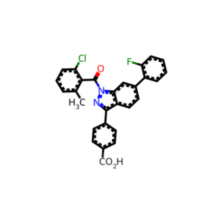 Cc1cccc(Cl)c1C(=O)n1nc(-c2ccc(C(=O)O)cc2)c2ccc(-c3ccccc3F)cc21